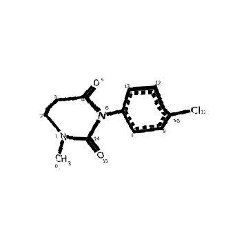 CN1CCC(=O)N(c2ccc(Cl)cc2)C1=O